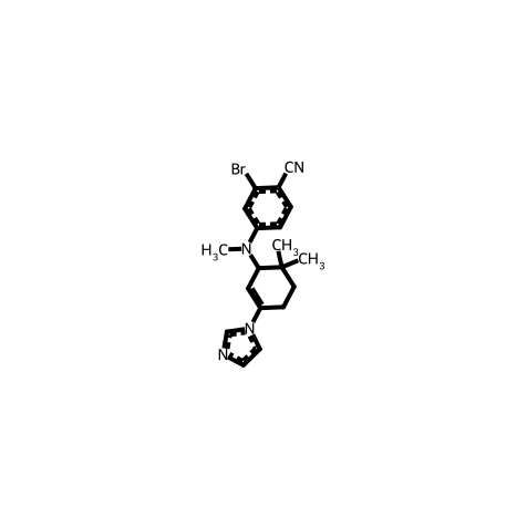 CN(c1ccc(C#N)c(Br)c1)C1C=C(n2ccnc2)CCC1(C)C